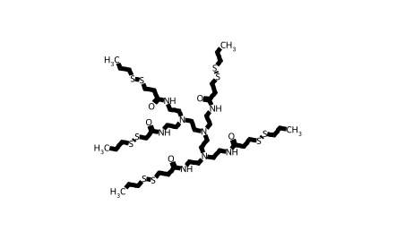 CCCSSCCC(=O)NCCN(CCNC(=O)CCSSCCC)CCN(CCNC(=O)CCSSCCC)CCN(CCNC(=O)CCSSCCC)CCNC(=O)CSSCCC